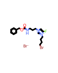 O=C(NCCCn1cc(F)[n+](CCCCBr)c1)OCc1ccccc1.[Br-]